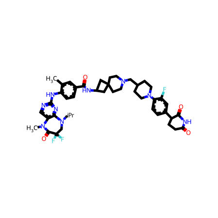 Cc1cc(C(=O)NC2CC3(CCN(CC4CCN(c5ccc(C6CCC(=O)NC6=O)cc5F)CC4)CC3)C2)ccc1Nc1ncc2c(n1)N(C(C)C)CC(F)(F)C(=O)N2C